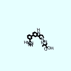 Cc1nc(N2CCc3[nH]c4ccc(-c5cccc(-c6nnn[nH]6)c5)cc4c3C2)ncc1C(=O)O